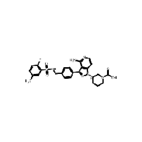 Cc1ccc(F)c(S(=O)(=O)NCc2ccc(-c3nn([C@@H]4CCCN(C(=O)O)C4)c4ccnc(N)c34)cc2)c1